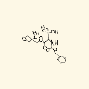 CC(O)C(NC(=O)OCc1ccccc1)C(=O)OCC1(C)COC1